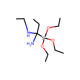 CCNC(N)(CC)[Si](OCC)(OCC)OCC